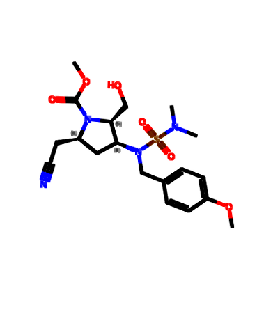 COC(=O)N1[C@H](CC#N)C[C@H](N(Cc2ccc(OC)cc2)S(=O)(=O)N(C)C)[C@@H]1CO